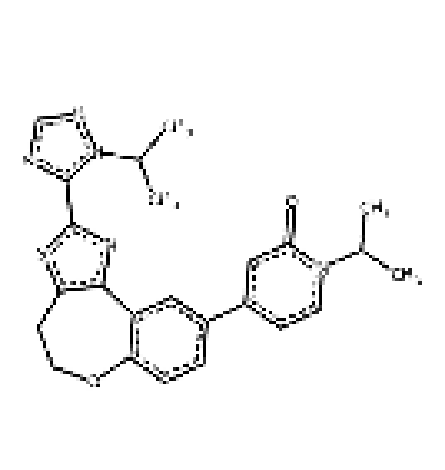 CC(C)n1ncnc1-c1nc2c(s1)CCOc1ccc(-c3ccn(C(C)C)c(=O)c3)cc1-2